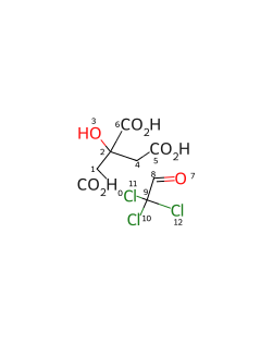 O=C(O)CC(O)(CC(=O)O)C(=O)O.O=CC(Cl)(Cl)Cl